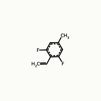 C=Cc1c(F)cc(C)cc1F